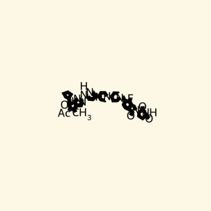 CC(=O)c1c(C)c2cnc(Nc3ccc(N4CCN(C5CCN(Cc6ccc7c(c6F)CN(C6CCC(=O)NC6=O)C7=O)CC5)CC4)cn3)nc2n(C2CCCC2)c1=O